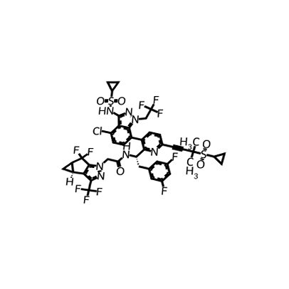 CC(C)(C#Cc1ccc(-c2ccc(Cl)c3c(NS(=O)(=O)C4CC4)nn(CC(F)(F)F)c23)c([C@H](Cc2cc(F)cc(F)c2)NC(=O)Cn2nc(C(F)(F)F)c3c2C(F)(F)C2C[C@H]32)n1)S(=O)(=O)C1CC1